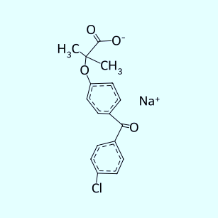 CC(C)(Oc1ccc(C(=O)c2ccc(Cl)cc2)cc1)C(=O)[O-].[Na+]